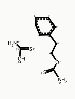 NC(=S)OCCc1ccccc1.NC(O)=S